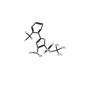 CC(C)(C)NS(=O)(=O)c1sc(-c2ccccc2C(F)(F)F)cc1B(O)O